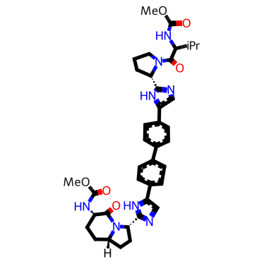 COC(=O)NC(C(=O)N1CCC[C@H]1c1ncc(-c2ccc(-c3ccc(-c4cnc([C@@H]5CC[C@@H]6CC[C@H](NC(=O)OC)C(=O)N65)[nH]4)cc3)cc2)[nH]1)C(C)C